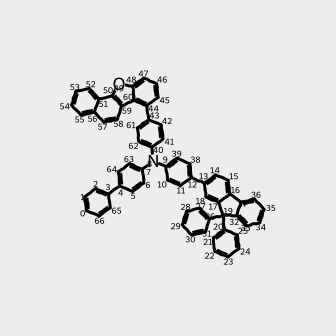 c1ccc(-c2ccc(N(c3ccc(-c4ccc5c(c4)C(c4ccccc4)(c4ccccc4)c4ccccc4-5)cc3)c3ccc(-c4cccc5oc6c7ccccc7ccc6c45)cc3)cc2)cc1